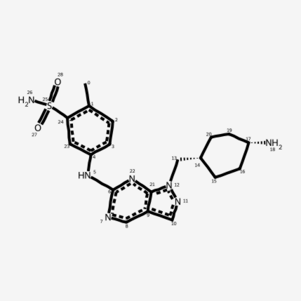 Cc1ccc(Nc2ncc3cnn(C[C@H]4CC[C@@H](N)CC4)c3n2)cc1S(N)(=O)=O